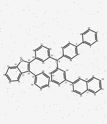 c1ccc(-c2ccc(N(c3cccc(-c4ccc5ccccc5c4)c3)c3cccc(-c4oc5ccccc5c4-c4ccccc4)c3)cc2)cc1